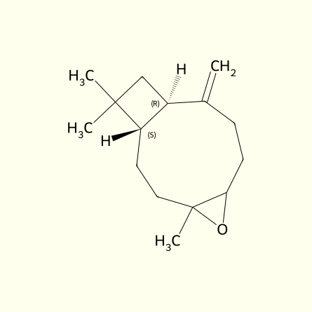 C=C1CCC2OC2(C)CC[C@H]2[C@H]1CC2(C)C